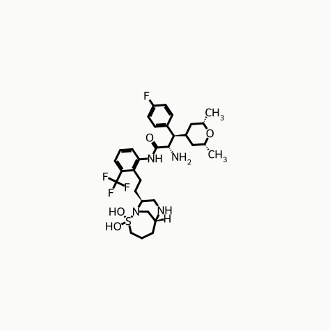 C[C@@H]1CC([C@H](c2ccc(F)cc2)[C@H](N)C(=O)Nc2cccc(C(F)(F)F)c2CC[C@H]2CN[C@@H]3CCCS(O)(O)N2C3)C[C@H](C)O1